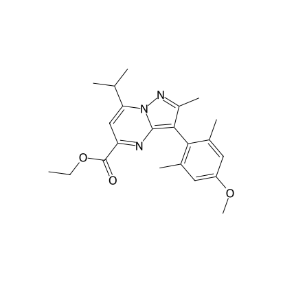 CCOC(=O)c1cc(C(C)C)n2nc(C)c(-c3c(C)cc(OC)cc3C)c2n1